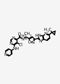 C[C@@H](NC(=O)c1ncnc(Nc2ccncc2)c1Cl)c1cc(-c2nc3ccc(C4(C)CC4)nc3[nH]2)no1